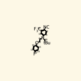 [C-]#[N+]c1ccc(N(CCOc2ccc(F)cc2)CC(C)(C)C)cc1C(F)(F)F